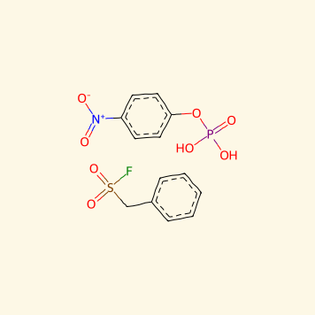 O=S(=O)(F)Cc1ccccc1.O=[N+]([O-])c1ccc(OP(=O)(O)O)cc1